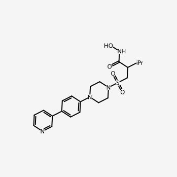 CC(C)C(CS(=O)(=O)N1CCN(c2ccc(-c3cccnc3)cc2)CC1)C(=O)NO